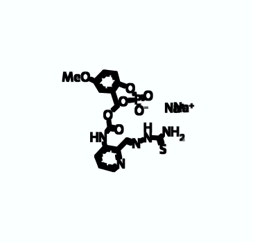 COc1ccc(OP(=O)([O-])[O-])c(COC(=O)Nc2cccnc2C=NNC(N)=S)c1.[Na+].[Na+]